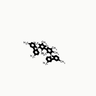 Cc1ccc2c(c1)c1cc(C)ccc1n2-c1c(C)c(C)c2oc3c(C)c(C)c(-n4c5ccc(C)cc5c5cc(C)ccc54)c(C)c3c2c1C